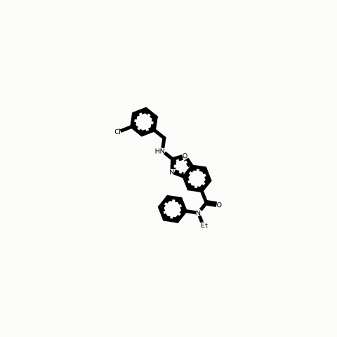 CCN(C(=O)c1ccc2oc(NCc3cccc(Cl)c3)nc2c1)c1ccccc1